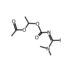 CC(=O)OC(C)OC(=O)/N=C(/I)N(C)C